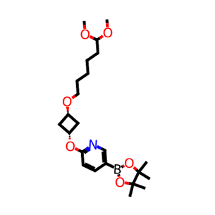 COC(CCCCCO[C@H]1C[C@H](Oc2ccc(B3OC(C)(C)C(C)(C)O3)cn2)C1)OC